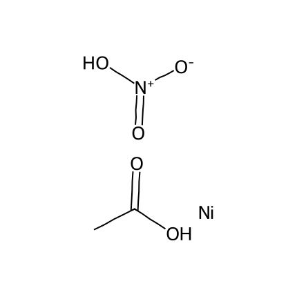 CC(=O)O.O=[N+]([O-])O.[Ni]